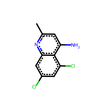 Cc1cc(N)c2c(Cl)cc(Cl)cc2n1